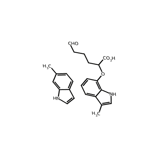 Cc1c[nH]c2c(OC(CCCC=O)C(=O)O)cccc12.Cc1ccc2cc[nH]c2c1